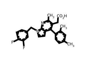 Cc1ccc(-c2c(CC(=O)O)c(C)nc3c2ccn3Cc2ccc(F)c(F)c2)c(C)c1